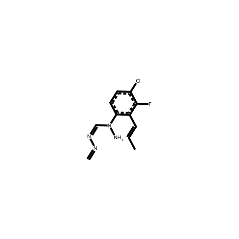 C=N/N=C\N(N)c1ccc(Cl)c(F)c1/C=C/C